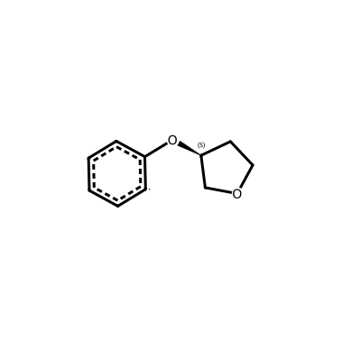 [c]1ccccc1O[C@H]1CCOC1